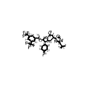 CC(C)c1noc(C2CC(=O)N3C[C@H](O[C@H](C)c4cc(C(F)(F)F)cc(C(F)(F)F)c4)[C@@H](c4ccc(F)cc4)C3C2)n1